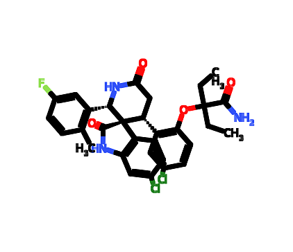 CCC(CC)(Oc1ccc(Cl)cc1[C@H]1CC(=O)N[C@@H](c2cc(F)ccc2C)[C@]12C(=O)Nc1cc(Cl)ccc12)C(N)=O